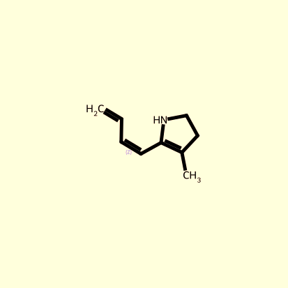 C=C/C=C\C1=C(C)CCN1